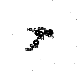 COc1c(C[C@H](NC(=O)CC[C@H]2CC[C@H](NC(=O)OC(C)(C)C)CC2)B2OC3CC4CC(C4(C)C)C3(C)O2)cccc1C(=O)O